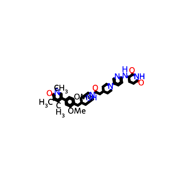 COc1cc(-c2cn(C)c(=O)c(C)c2C)cc(OC)c1CC1CC2CN(C(=O)CC3CCN(c4ccc(NC5CCC(=O)NC5=O)nc4)CC3)CC(C1)N2